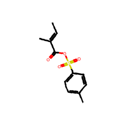 CC=C(C)C(=O)OS(=O)(=O)c1ccc(C)cc1